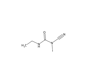 CCNC(=O)N(I)C#N